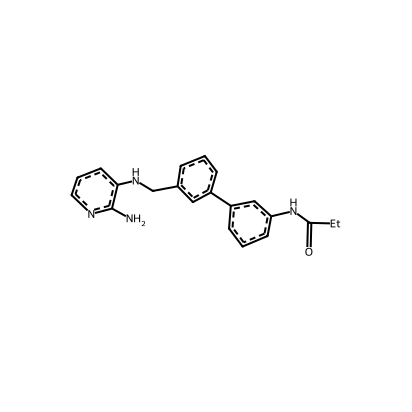 CCC(=O)Nc1cccc(-c2cccc(CNc3cccnc3N)c2)c1